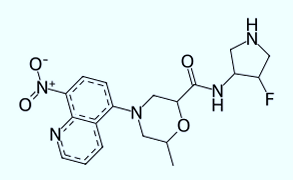 CC1CN(c2ccc([N+](=O)[O-])c3ncccc23)CC(C(=O)NC2CNCC2F)O1